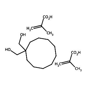 C=C(C)C(=O)O.C=C(C)C(=O)O.OCC1(CO)CCCCCCCCC1